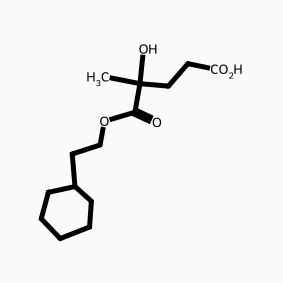 CC(O)(CCC(=O)O)C(=O)OCCC1CCCCC1